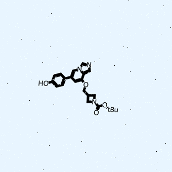 CC(C)(C)OC(=O)N1CC(COc2cc(-c3ccc(O)cc3)cn3cncc23)C1